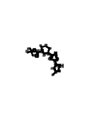 Cc1c[nH]c(-c2nc(C3CCCN(C(=O)OC(C)(C)C)C3)no2)c1